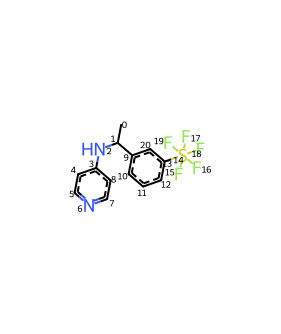 CC(Nc1ccncc1)c1cccc(S(F)(F)(F)(F)F)c1